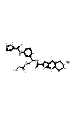 CC(C)(C)OC(=O)NC[C@H](NC(=O)c1cc2cc3c(nc2s1)CC[C@@H](C(C)(C)C)C3)c1cccc(NC(=O)c2ccno2)c1